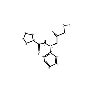 COCC(=O)C[C@H](NC(=O)C1CCCC1)c1ccccc1